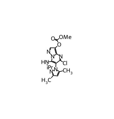 COC(=O)Oc1cnn2c(NC(C)C)c(-n3nc(C)cc3C)c(Cl)nc12